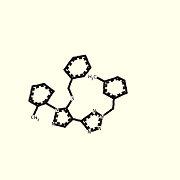 Cc1cccc(Cn2nnc(-c3cnn(-c4ccccc4C)c3SCc3ccccc3)n2)c1